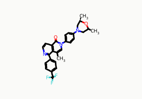 Cc1cn(-c2ccc(N3CC(C)O[C@H](C)C3)cc2)c(=O)c2ccnc(-c3ccc(C(F)(F)F)cc3)c12